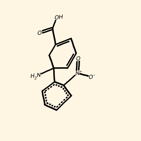 NC1(c2ccccc2[N+](=O)[O-])C=CC=C(C(=O)O)C1